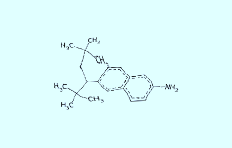 CC(C)(C)CC(c1ccc2cc(N)ccc2c1)C(C)(C)C